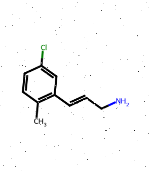 Cc1ccc(Cl)cc1/C=C/CN